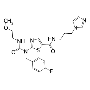 COCCNC(=O)N(Cc1ccc(F)cc1)c1ncc(C(=O)NCCCn2ccnc2)s1